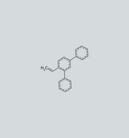 C=Cc1ccc(-c2ccccc2)cc1-c1ccccc1